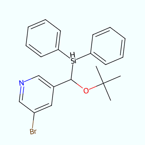 CC(C)(C)OC(c1cncc(Br)c1)[SiH](c1ccccc1)c1ccccc1